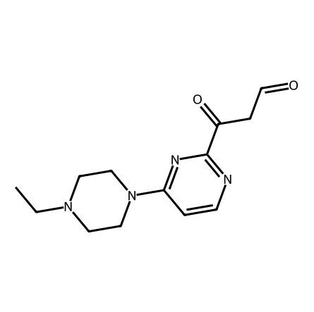 CCN1CCN(c2ccnc(C(=O)CC=O)n2)CC1